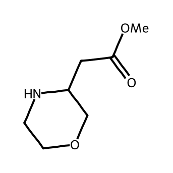 COC(=O)CC1COCCN1